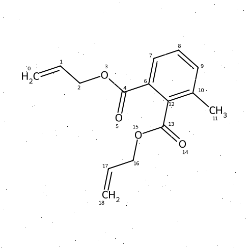 C=CCOC(=O)c1cccc(C)c1C(=O)OCC=C